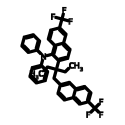 CCC(CC)(Cc1ccc2cc(C(F)(F)F)ccc2c1)c1ccc2cc(C(F)(F)F)ccc2c1N(c1ccccc1)c1ccccc1